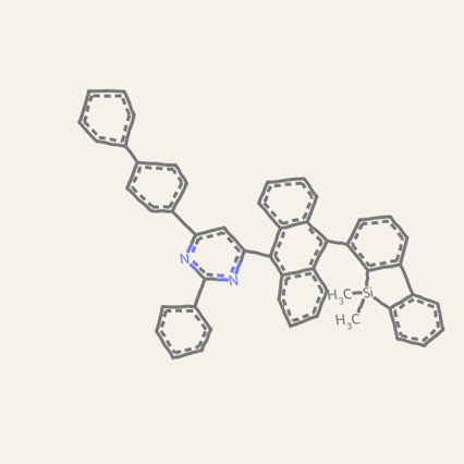 C[Si]1(C)c2ccccc2-c2cccc(-c3c4ccccc4c(-c4cc(-c5ccc(-c6ccccc6)cc5)nc(-c5ccccc5)n4)c4ccccc34)c21